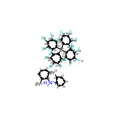 CC(C)c1ccccc1[NH2+]c1ccccc1C(C)C.Fc1c(F)c(F)c([B-](c2c(F)c(F)c(F)c(F)c2F)(c2c(F)c(F)c(F)c(F)c2F)c2c(F)c(F)c(F)c(F)c2F)c(F)c1F